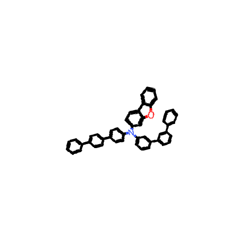 c1ccc(-c2ccc(-c3ccc(N(c4cccc(-c5cccc(-c6ccccc6)c5)c4)c4ccc5c(c4)oc4ccccc45)cc3)cc2)cc1